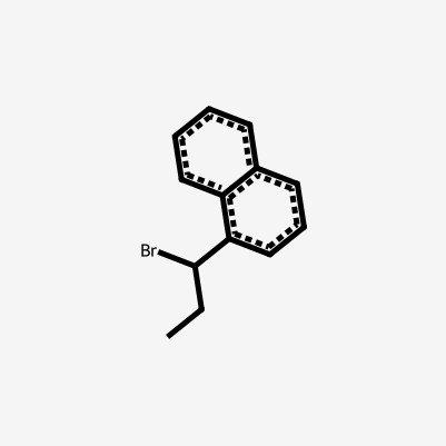 CCC(Br)c1cccc2ccccc12